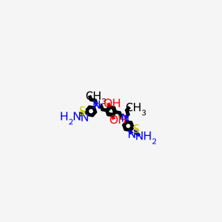 CCCN(CCc1cc(O)c(CCN(CCC)[C@H]2CCc3nc(N)sc3C2)cc1O)[C@H]1CCc2nc(N)sc2C1